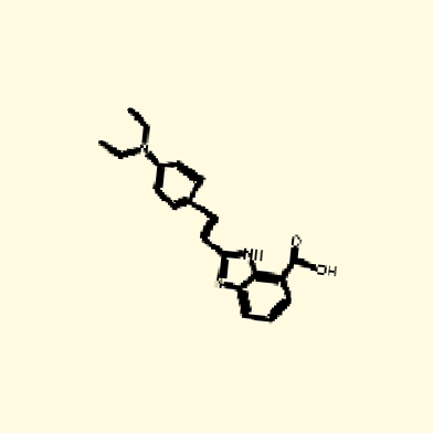 CCN(CC)c1ccc(C=Cc2nc3cccc(C(=O)O)c3[nH]2)cc1